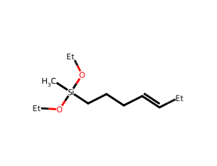 CCC=CCCC[Si](C)(OCC)OCC